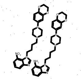 Nc1cccc2ncn(CCCCN3CCN(c4ccc5c(c4)OCCO5)CC3)c12.O=[N+]([O-])c1cccc2ncn(CCCCN3CCN(c4ccc5c(c4)OCCO5)CC3)c12